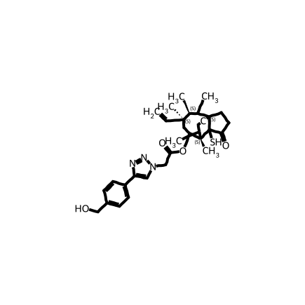 C=C[C@]1(C)CC(OC(=O)Cn2cc(-c3ccc(CO)cc3)nn2)[C@]2(C)C(C)CC[C@]3(CCC(=O)C32S)C(C)[C@@H]1C